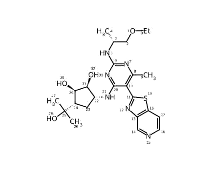 CCOC[C@@H](C)Nc1nc(C)c(-c2nc3cnccc3s2)c(N[C@@H]2C[C@H](C(C)(C)O)[C@@H](O)[C@H]2O)n1